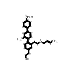 C/C=C/COCCc1cc(CCO)ccc1-c1ccc(-c2ccc(CCCCC)cc2)cc1C